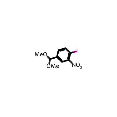 COC(OC)c1ccc(I)c([N+](=O)[O-])c1